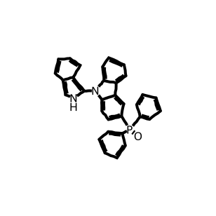 O=P(c1ccccc1)(c1ccccc1)c1ccc2c(c1)c1ccccc1n2-c1[nH]cc2ccccc12